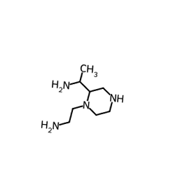 CC(N)C1CNCCN1CCN